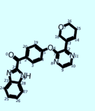 O=C(c1ccc(Oc2nccnc2C2=CCCOC2)cc1)c1nc2ccccc2[nH]1